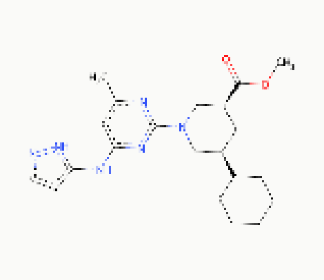 COC(=O)[C@H]1C[C@@H](C2CCCCC2)CN(c2nc(C)cc(Nc3ccn[nH]3)n2)C1